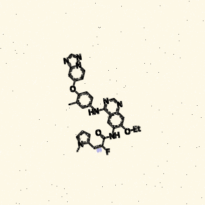 CCOc1cc2ncnc(Nc3ccc(Oc4ccn5ncnc5c4)c(C)c3)c2cc1NC(=O)/C(F)=C\c1cccn1C